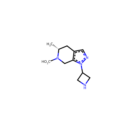 C[C@@H]1Cc2cnn(C3CNC3)c2CN1C(=O)O